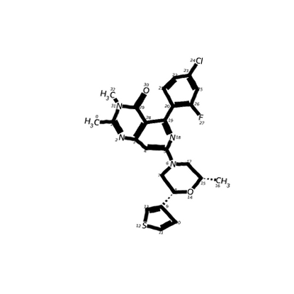 Cc1nc2cc(N3C[C@@H](c4ccsc4)O[C@@H](C)C3)nc(-c3ccc(Cl)cc3F)c2c(=O)n1C